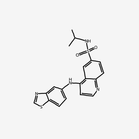 CC(C)NS(=O)(=O)c1ccc2nccc(Nc3ccc4scnc4c3)c2c1